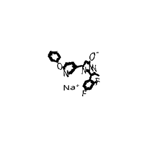 Cc1nn2c([O-])cc(-c3ccc(Oc4ccccc4)nc3)nc2c1-c1ccc(F)cc1F.[Na+]